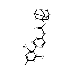 Cc1cc(O)c(-c2ccc(NC(=O)OC34CC5CC(CC(C5)C3)C4)cc2)c(O)c1